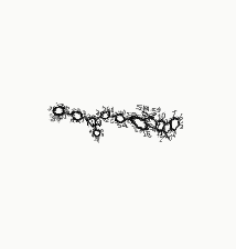 CC1(C)c2ccccc2-c2cc3c(cc21)-c1ccc(-c2ccc(-c4cccc(-c5cc(-c6ccc(-c7ccccc7)cc6)nc(-c6ccccc6)n5)c4)cc2)cc1C3(C)C